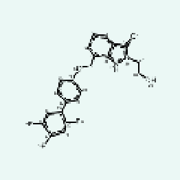 O=c1c2cccc(COc3ccc(-c4cc(F)c(F)cc4F)cc3)c2[nH]n1CCO